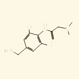 CN(C)CC(=O)Nc1c(Cl)cc(CN)cc1Cl